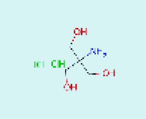 Cl.Cl.NC(CO)(CO)CO